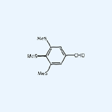 CSc1cc(C=O)cc(SC)c1SC